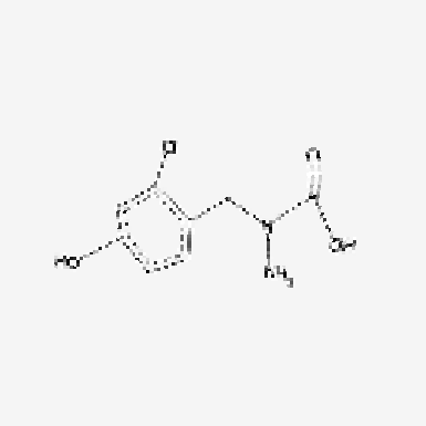 NN(Cc1ccc(O)cc1Cl)C(=O)O